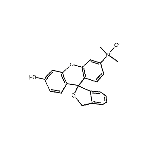 C[N+](C)([O-])c1ccc2c(c1)Oc1cc(O)ccc1C21OCc2ccccc21